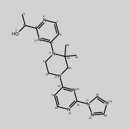 CC(O)c1nccc(N2CCN(c3ccnc(-n4cncn4)n3)CC2(C)C)n1